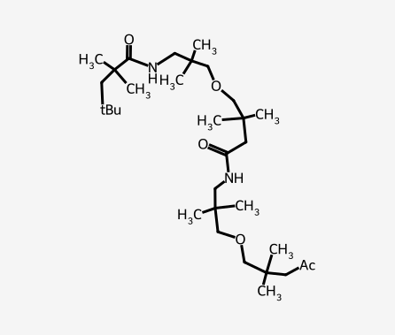 CC(=O)CC(C)(C)COCC(C)(C)CNC(=O)CC(C)(C)COCC(C)(C)CNC(=O)C(C)(C)CC(C)(C)C